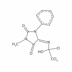 CN1C(=O)C(=NC(O)(Cl)C(Cl)(Cl)Cl)N(c2ccccc2)C1=O